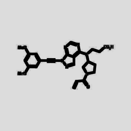 C=CC(=O)N1CCC(N(CCC(=O)O)c2ncnc3c2cnn3C#Cc2cc(OC)cc(OC)c2)C1